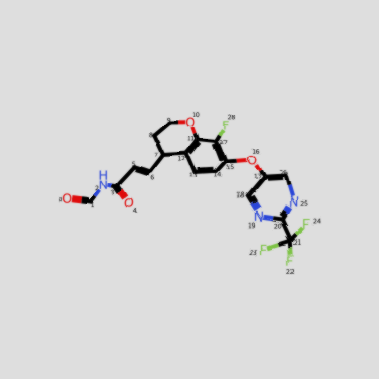 O=CNC(=O)C=CC1CCOc2c1ccc(Oc1cnc(C(F)(F)F)nc1)c2F